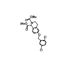 COC(=O)C1c2ccc(OCc3cc(Cl)ccc3Cl)cc2CCN1C(=O)OCC(C)C